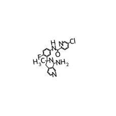 CC1(c2cc(NC(=O)c3ccc(Cl)cn3)ccc2F)Cc2ccncc2C(N)=N1